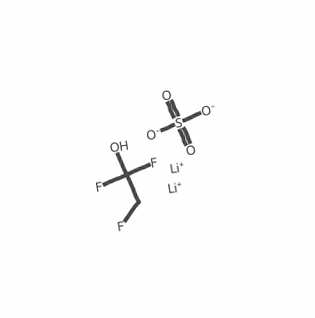 O=S(=O)([O-])[O-].OC(F)(F)CF.[Li+].[Li+]